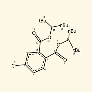 CCCCC(OC(=O)c1ccc(Cl)cc1C(=O)OC(CCCC)C(C)(C)C)C(C)(C)C